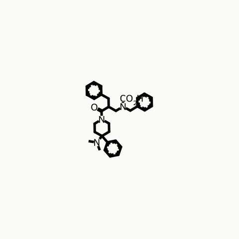 CN(C)C1(c2ccccc2)CCN(C(=O)C(Cc2ccccc2)CN(Cc2ccccc2)C(=O)O)CC1